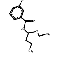 CCCC(NC(=O)c1cccc(Br)c1)OCC